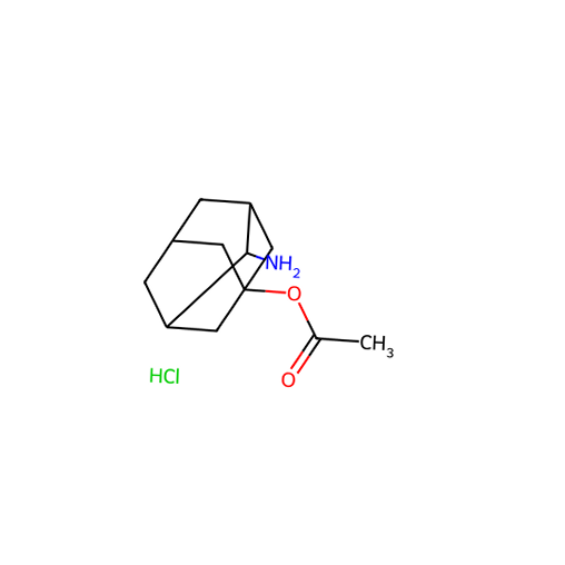 CC(=O)OC12CC3CC(C1)C(N)C(C3)C2.Cl